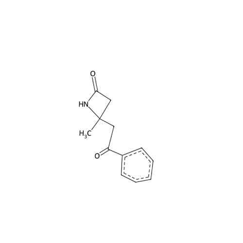 CC1(CC(=O)c2ccccc2)CC(=O)N1